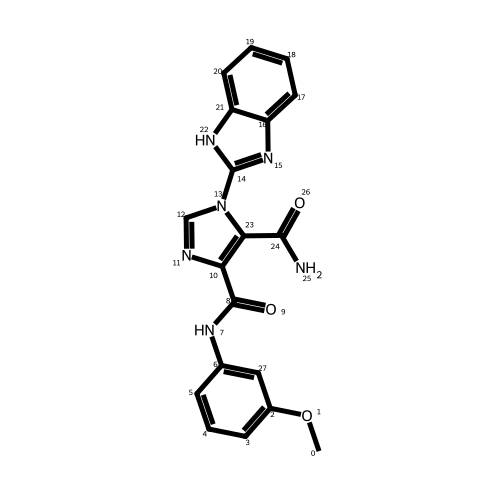 COc1cccc(NC(=O)c2ncn(-c3nc4ccccc4[nH]3)c2C(N)=O)c1